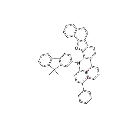 CC1(C)c2ccccc2-c2ccc(N(c3ccc(-c4ccccc4)cc3)c3c(-c4ccccc4)ccc4c3oc3c5ccccc5ccc43)cc21